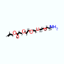 C=CCOC(=O)CCOCCOCCOCCOCCN